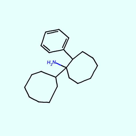 NC1(C2CCCCCCC2)CCCCCCC1c1ccccc1